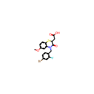 COc1ccc2c(c1)N(Cc1ccc(Br)cc1F)C(=O)C(CC(=O)O)S2